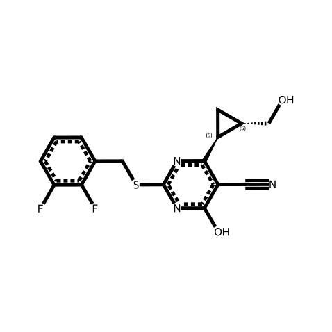 N#Cc1c(O)nc(SCc2cccc(F)c2F)nc1[C@H]1C[C@@H]1CO